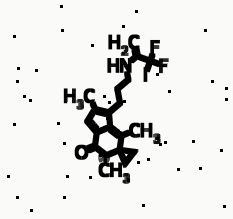 C=C(NCCCC1=C(C)C=C2C(=O)[C@@H](C)C3(CC3)C(C)=C21)C(F)(F)I